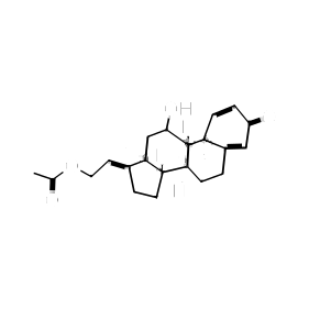 CC(=O)OCC=C1CC[C@H]2[C@@H]3CCC4=CC(=O)C=C[C@]4(C)[C@H]3C(O)C[C@]12C